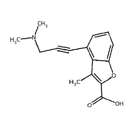 Cc1c(C(=O)O)oc2cccc(C#CCN(C)C)c12